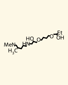 CCC(O)COCCCCOCC(O)CNCCCC(C)CNC